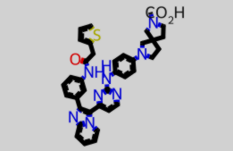 O=C(Cc1cccs1)Nc1cccc(-c2nc3ccccn3c2-c2ccnc(Nc3ccc(N4CCC5(CCN(C(=O)O)C5)C4)cc3)n2)c1